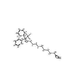 CC(C)(C)[Si](OCCCCCCCCCO)(c1ccccc1)c1ccccc1